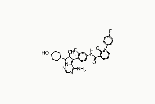 CC1C(c2ccc(NC(=O)c3cccn(-c4ccc(F)cc4)c3=O)cc2F)=C2C(N)=NC=NN2C1[C@H]1CC[C@H](O)CC1